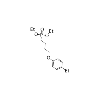 CCOP(=O)(CCCCOc1ccc(CC)cc1)OCC